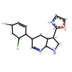 FC1C=CC(C2C=NC3NCC(c4ncco4)C3C2)C(F)C1